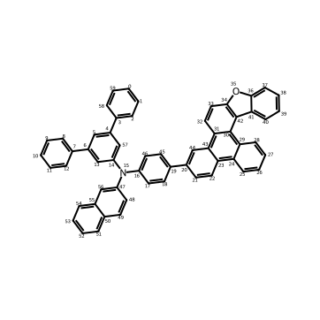 c1ccc(-c2cc(-c3ccccc3)cc(N(c3ccc(-c4ccc5c6ccccc6c6c(ccc7oc8ccccc8c76)c5c4)cc3)c3ccc4ccccc4c3)c2)cc1